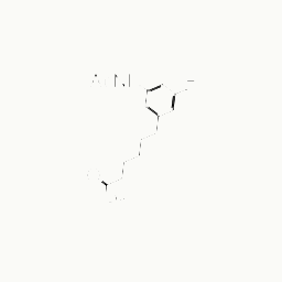 CC(=O)Nc1cc(F)cc(CCCCCC(=O)C(C)C)c1